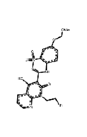 COCOc1ccc2c(c1)S(=O)(=O)N=C(c1c(O)c3cccnc3n(CCC(C)C)c1=O)N2